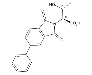 C[C@@H](O)[C@@H](C(=O)O)N1C(=O)c2ccc(-c3ccccc3)cc2C1=O